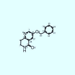 O=C1NCCc2ncc(OCc3ccccc3)cc21